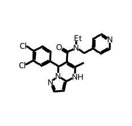 CCN(Cc1ccncc1)C(=O)C1=C(C)Nc2ccnn2C1c1ccc(Cl)c(Cl)c1